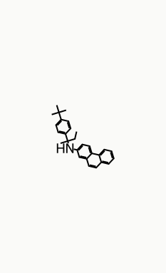 CCC(C)(Nc1ccc2c(ccc3ccccc32)c1)c1ccc(C(C)(C)C)cc1